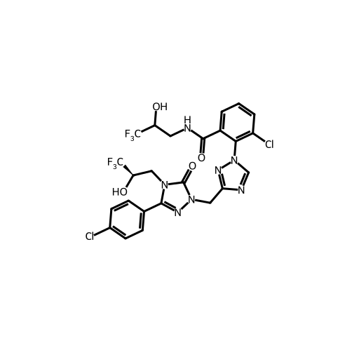 O=C(NCC(O)C(F)(F)F)c1cccc(Cl)c1-n1cnc(Cn2nc(-c3ccc(Cl)cc3)n(C[C@@H](O)C(F)(F)F)c2=O)n1